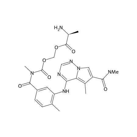 CNC(=O)c1cn2ncnc(Nc3cc(C(=O)N(C)C(=O)OCOC(=O)[C@H](C)N)ccc3C)c2c1C